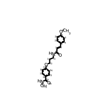 COc1ccc(C=CC(=O)NCCCOc2ccc(C(=O)NO)cc2)cc1